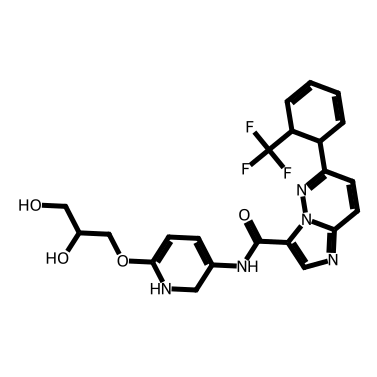 O=C(NC1=CC=C(OCC(O)CO)NC1)c1cnc2ccc(C3C=CC=CC3C(F)(F)F)nn12